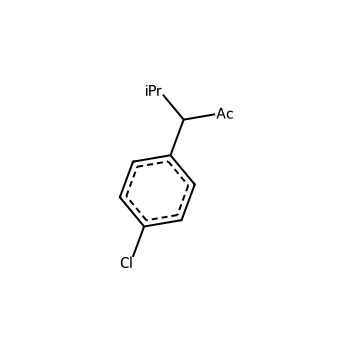 CC(=O)C(c1ccc(Cl)cc1)C(C)C